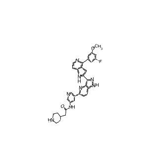 COc1cc(F)cc(-c2nccc3[nH]c(-c4n[nH]c5ccc(-c6cncc(NC(=O)CC7CCNCC7)c6)nc45)cc23)c1